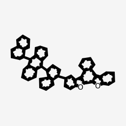 c1ccc2c(-c3c4ccccc4c(-c4ccc(-c5ccc6oc7c8oc9ccccc9c8c8ccccc8c7c6c5)c5ccccc45)c4ccccc34)cccc2c1